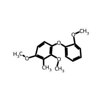 COc1ccccc1Oc1ccc(OC)c(C)c1OC